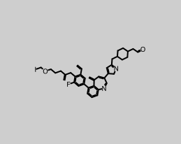 C=Cc1cc(-c2cccc3c2C(=C)C=C(C2=CC(CC4CCC(CC=O)CC4)=NC2)C=N3)cc(F)c1CC(=C)CCCOCI